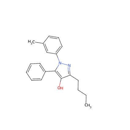 CCCCc1nn(-c2cccc(C)c2)c(-c2ccccc2)c1O